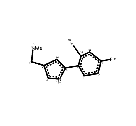 CNCc1c[nH]c(-c2ccc(F)cc2F)c1